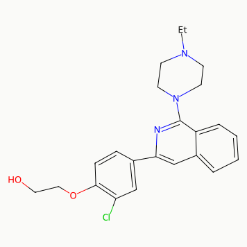 CCN1CCN(c2nc(-c3ccc(OCCO)c(Cl)c3)cc3ccccc23)CC1